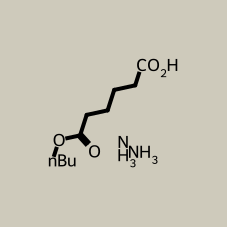 CCCCOC(=O)CCCCC(=O)O.N.N